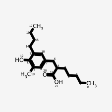 CCCCCC(Cc1cc(C)c(O)c(CCCC)c1)C(=O)O